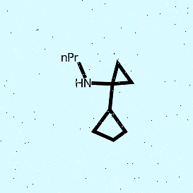 CCCNC1(C2CCC2)CC1